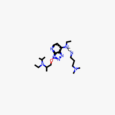 CCN(C(C)C)C(C)COn1nnc2c([N+](=C=NCCCN(C)C)CC)ccnc21